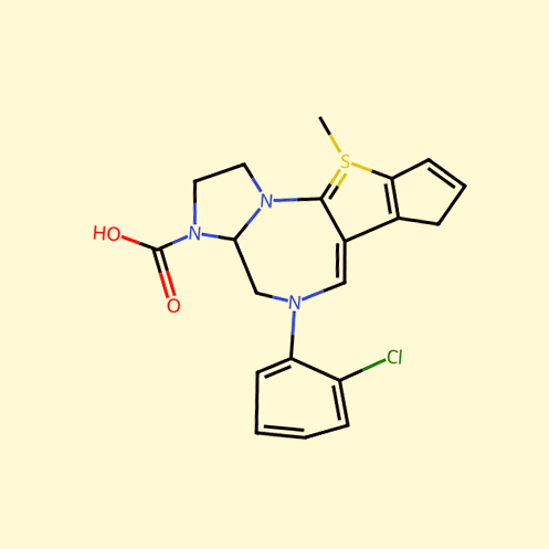 CS1=C2C(=CN(c3ccccc3Cl)CC3N(C(=O)O)CCN23)C2=C1C=CC2